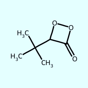 CC(C)(C)C1OOC1=O